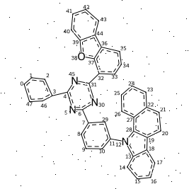 c1ccc(-c2nc(-c3cccc(-n4c5ccccc5c5ccc6ccccc6c54)c3)nc(-c3cccc4c3oc3ccccc34)n2)cc1